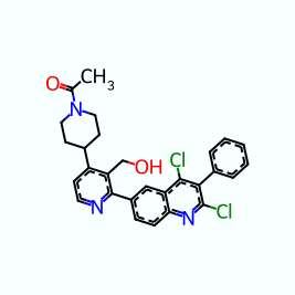 CC(=O)N1CCC(c2ccnc(-c3ccc4nc(Cl)c(-c5ccccc5)c(Cl)c4c3)c2CO)CC1